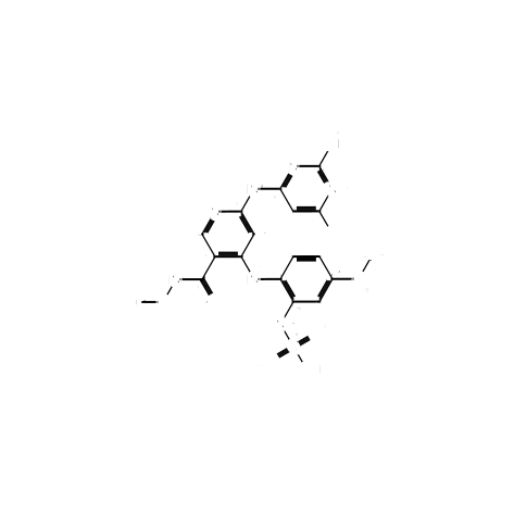 CCONC(=O)c1cnc(Nc2cc(C)nc(C)n2)cc1Nc1ccc(OC(C)C)cc1NS(C)(=O)=O